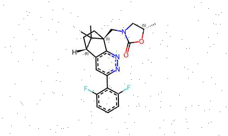 C[C@H]1CN(C[C@@]23CC[C@@H](c4cc(-c5c(F)cccc5F)nnc42)C3(C)C)C(=O)O1